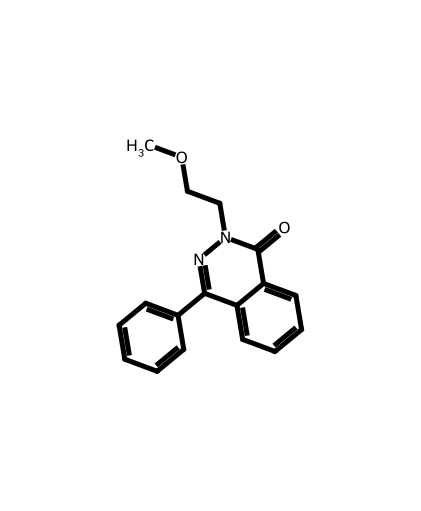 COCCn1nc(-c2ccccc2)c2ccccc2c1=O